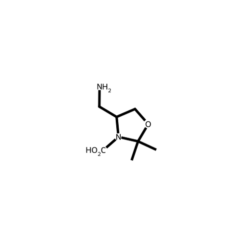 CC1(C)OCC(CN)N1C(=O)O